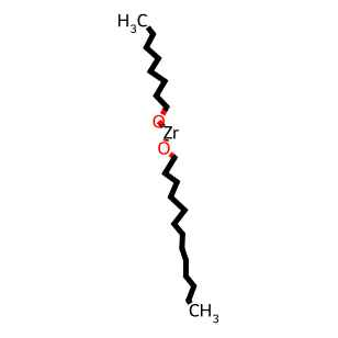 CCCCCCCCCCCCC[O][Zr][O]CCCCCCCC